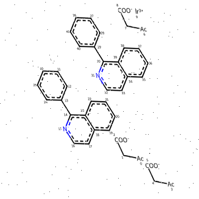 CC(=O)CC(=O)[O-].CC(=O)CC(=O)[O-].CC(=O)CC(=O)[O-].[Ir+3].c1ccc(-c2nccc3ccccc23)cc1.c1ccc(-c2nccc3ccccc23)cc1